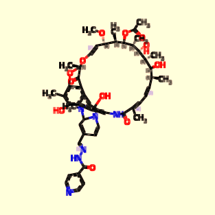 CO[C@H]1/C=C/O[C@@]2(C)Oc3c(C)c(O)c4c(O)c(c5c(c4c3C2=O)N(C)C2C=C(/C=N/NC(=O)c3ccncc3)C=CN52)NC(=O)/C(C)=C\C=C\[C@H](C)[C@H](O)[C@@H](C)[C@@H](O)[C@@H](C)[C@H](OC(C)=O)[C@@H]1C